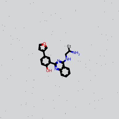 CCC(N)CNc1nc(-c2cc(-c3ccoc3)ccc2O)nc2ccccc12